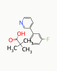 CC(C)(C)C(=O)O.Fc1cccc(-c2cccnc2)c1